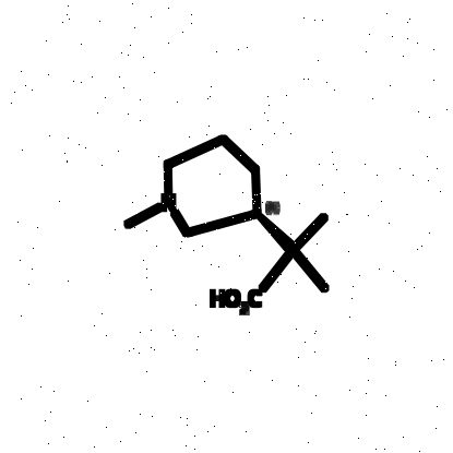 CN1CCC[C@@H](C(C)(C)C(=O)O)C1